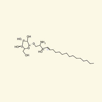 CCCCCCCCCCCCC/C=C/[C@@H](O)C(N)CO[C@@H]1OC(CO)[C@@H](O)[C@H](O)C1O